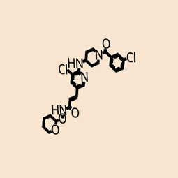 O=C(C=Cc1cnc(NC2CCN(C(=O)c3cccc(Cl)c3)CC2)c(Cl)c1)NOC1CCCCO1